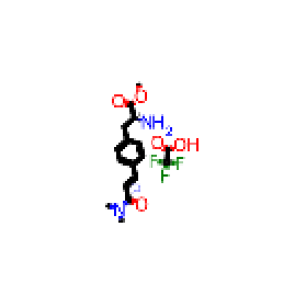 COC(=O)[C@@H](N)Cc1ccc(/C=C/C(=O)N(C)C)cc1.O=C(O)C(F)(F)F